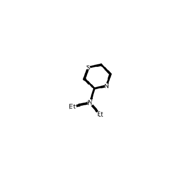 CCN(CC)C1CSCC[N]1